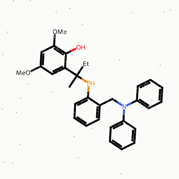 CCC(C)(Pc1ccccc1CN(c1ccccc1)c1ccccc1)c1cc(OC)cc(OC)c1O